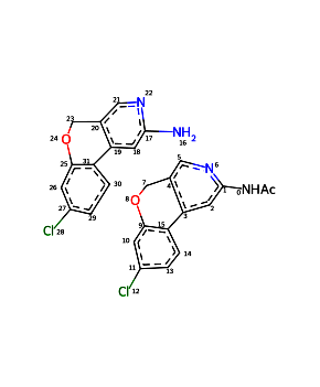 CC(=O)Nc1cc2c(cn1)COc1cc(Cl)ccc1-2.Nc1cc2c(cn1)COc1cc(Cl)ccc1-2